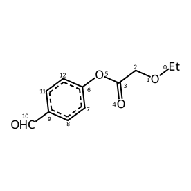 CCOCC(=O)Oc1ccc(C=O)cc1